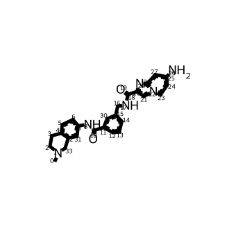 CN1CCc2ccc(NC(=O)c3cccc(CNC(=O)c4cn5ccc(N)cc5n4)c3)cc2C1